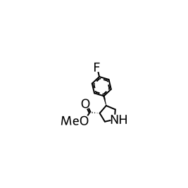 COC(=O)[C@H]1CNC[C@@H]1c1ccc(F)cc1